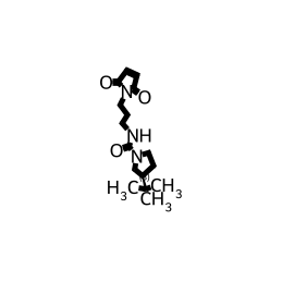 CC(C)(C)[C@@H]1CCN(C(=O)NCCCN2C(=O)C=CC2=O)C1